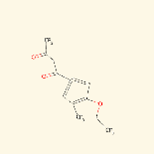 O=C(CC(=O)C(F)(F)F)c1ccc(OCC(F)(F)F)c(C(F)(F)F)c1